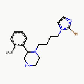 COc1ccccc1C1CNCCN1CCCCn1ccnc1S